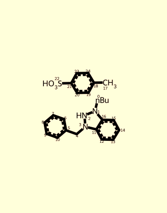 CCCCN1NN(Cc2ccccc2)c2ccccc21.Cc1ccc(S(=O)(=O)O)cc1